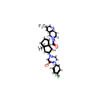 O=C1CN([C@@H]2C[C@H]3CCC[C@@]3(C(=O)N3CCc4ncc(C(F)(F)F)cc4C3)C2)CCN1c1ccc(F)cc1